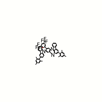 Cc1cc(C)c(-c2ccc3c(c2)c2ccccc2n3-c2cc(-c3cc(C(F)(F)F)cc(C(F)(F)F)c3)c(-n3c4ccccc4c4cc(-c5c(C)cc(C)cc5C)ccc43)cc2C#N)c(C)c1